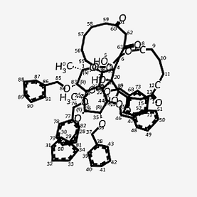 C[C@@H]1O[C@@H]([C@@]2(O)C3(OCCCCCC(=O)CC(=O)C(O)[C@]2(O)[C@@H]2O[C@@H](C)[C@@H](OCc4ccccc4)[C@@H](OCc4ccccc4)[C@@H]2OCc2ccccc2)OOCCCCCC(=O)CC3=O)[C@@H](OCc2ccccc2)[C@H](OCc2ccccc2)[C@@H]1OCc1ccccc1